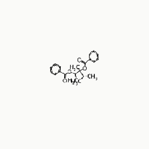 CC(C)C(C)(OC(=O)c1ccccc1)C(C)OC(=O)c1ccccc1